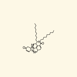 CCCCCCCCCC1C2C=CC34NC5CC(=O)C=CC5N3N=CC3CC=C(C(=O)N1CCCCCCCCC)C2=C34